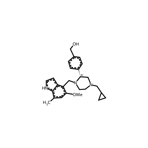 COc1cc(C)c2[nH]ccc2c1CN1CCN(CC2CC2)C[C@H]1c1ccc(CO)cc1